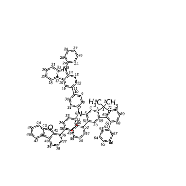 CC1(C)c2cc(N(c3ccc(-c4ccc5c(c4)c4ccccc4n5-c4ccccc4)cc3)c3ccc(-c4cccc5c4oc4ccccc45)cc3)c(-c3ccccc3)cc2-c2c(-c3ccccc3)cccc21